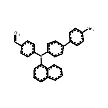 C=Cc1ccc(N(c2ccc(-c3ccc(N)cc3)cc2)c2cccc3ccccc23)cc1